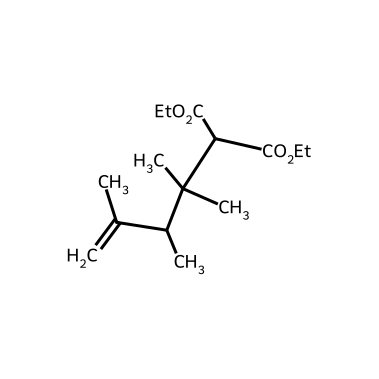 C=C(C)C(C)C(C)(C)C(C(=O)OCC)C(=O)OCC